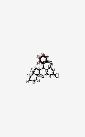 Clc1cc2c3c(c1)Sc1c(ccc4ccccc14)C3(c1ccccc1)c1ccccc1S2